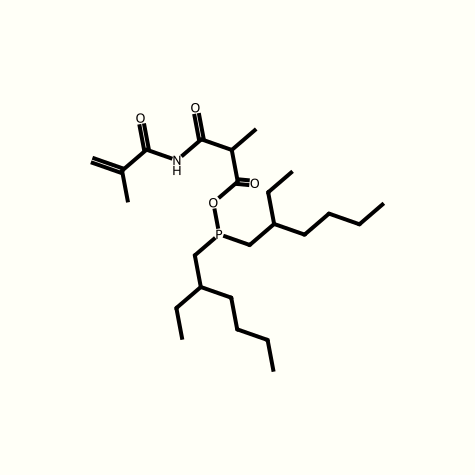 C=C(C)C(=O)NC(=O)C(C)C(=O)OP(CC(CC)CCCC)CC(CC)CCCC